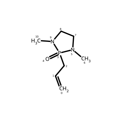 C=CCP1(=O)N(C)CCN1C